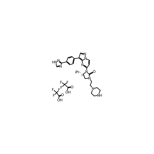 CC(C)[C@H]1CN(CCN2CCNCC2)C(=O)N1c1ccn2ncc(-c3ccc(-c4nc[nH]n4)cc3)c2n1.O=C(O)C(F)(F)F.O=C(O)C(F)(F)F